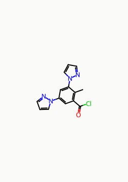 Cc1c(C(=O)Cl)cc(-n2cccn2)cc1-n1cccn1